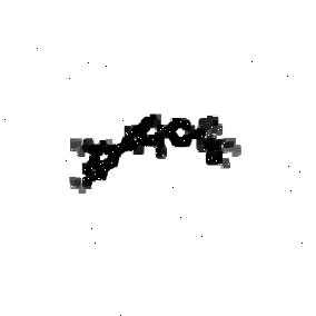 Cc1nc(-c2nc3cnn(C4CCN(C(=O)OC(C)(C)C)CC4)c(=O)c3s2)cc2cn(C)nc12